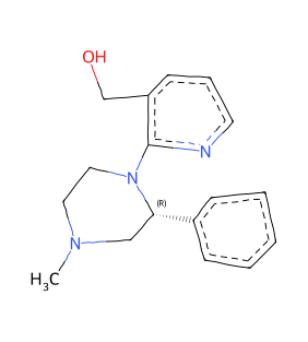 CN1CCN(c2ncccc2CO)[C@H](c2ccccc2)C1